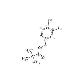 CC(C)(C)C(=O)OCc1ccc(F)c(F)c1